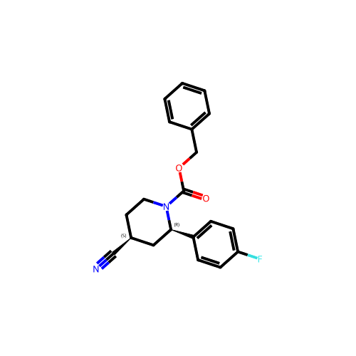 N#C[C@H]1CCN(C(=O)OCc2ccccc2)[C@@H](c2ccc(F)cc2)C1